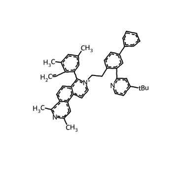 C=Cc1c(C)cc(C)cc1-c1c2ccc3c(C)nc(C)cc3c2cc[n+]1CCc1ccc(-c2ccccc2)cc1-c1cc(C(C)(C)C)ccn1